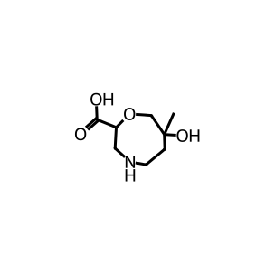 CC1(O)CCNCC(C(=O)O)OC1